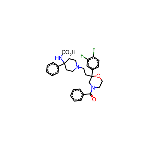 O=C(O)NC1(c2ccccc2)CCN(CCC2(c3ccc(F)c(F)c3)CN(C(=O)c3ccccc3)CCO2)CC1